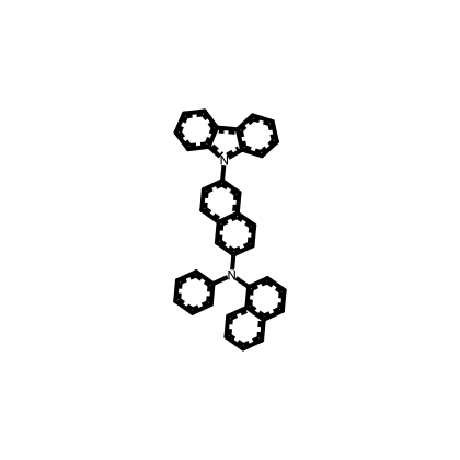 c1ccc(N(c2ccc3cc(-n4c5ccccc5c5ccccc54)ccc3c2)c2cccc3ccccc23)cc1